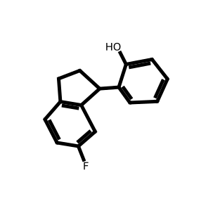 Oc1ccccc1C1CCc2ccc(F)cc21